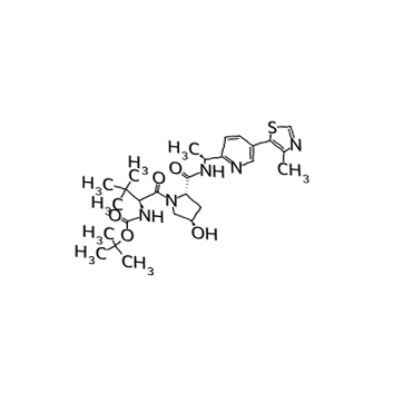 Cc1ncsc1-c1ccc([C@H](C)NC(=O)[C@@H]2C[C@@H](O)CN2C(=O)[C@@H](NC(=O)OC(C)(C)C)C(C)(C)C)nc1